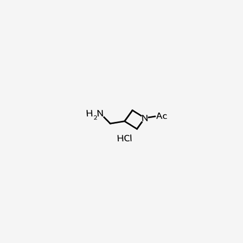 CC(=O)N1CC(CN)C1.Cl